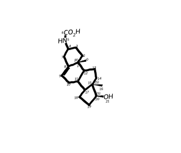 C[C@]12CCC(NC(=O)O)CC1=CCC1C2CC[C@@]2(C)C1CC[C@@H]2O